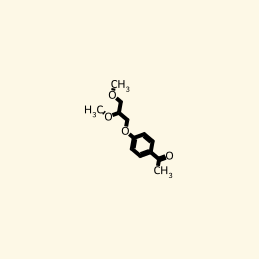 COCC(COc1ccc(C(C)=O)cc1)OC